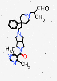 Cc1ncnc(C)c1C(=O)N1CC2CN(CCC3(c4ccccc4)CCN(CC(C)C=O)CC3)CC2C1